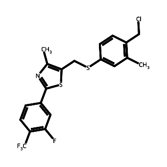 Cc1cc(SCc2sc(-c3ccc(C(F)(F)F)c(F)c3)nc2C)ccc1CCl